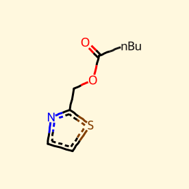 CCCCC(=O)OCc1nccs1